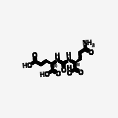 NC(=O)CC[C@H](NC(=O)N[C@H](CCC(=O)O)C(=O)O)C(=O)O